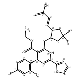 CCOC(=O)C1=C(CN2CC(F)(F)CC2/C=C/C(=O)O)NC(c2nccs2)=N[C@H]1c1ccc(F)cc1Br